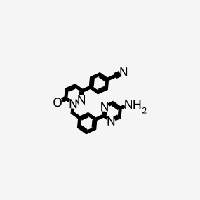 N#Cc1ccc(-c2ccc(=O)n(Cc3cccc(-c4ncc(N)cn4)c3)n2)cc1